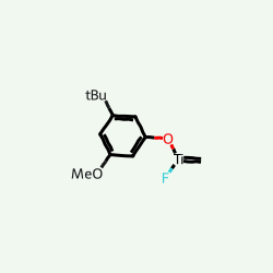 [CH2]=[Ti]([F])[O]c1cc(OC)cc(C(C)(C)C)c1